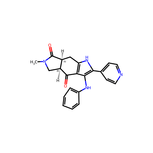 CN1C[C@@H]2C(=O)c3c([nH]c(-c4ccncc4)c3Nc3ccccc3)C[C@@H]2C1=O